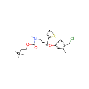 Cc1cc(O[C@@H](CCN(C)C(=O)OCC[Si](C)(C)C)c2cccs2)ccc1CCl